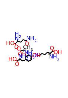 C[C@H](N)C(=O)O.NC(=O)CC[C@H](N)C(=O)O.NCCCC[C@H](N)C(=O)O.N[C@@H](Cc1ccc(O)cc1)C(=O)O